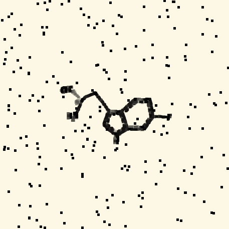 N[C@H]([C]=O)Cc1c[nH]c2cc(F)ccc12